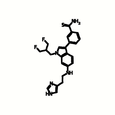 NC(=S)c1cccc(-c2cn(CC(CF)CF)c3cc(NCCc4c[nH]cn4)ccc23)c1